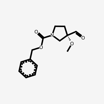 CO[C@@]1(C=O)CCN(C(=O)OCc2ccccc2)C1